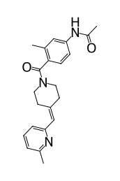 CC(=O)Nc1ccc(C(=O)N2CCC(=Cc3cccc(C)n3)CC2)c(C)c1